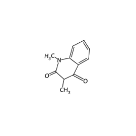 CC1C(=O)c2ccccc2N(C)C1=O